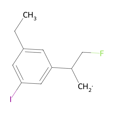 [CH2]C(CF)c1cc(I)cc(CC)c1